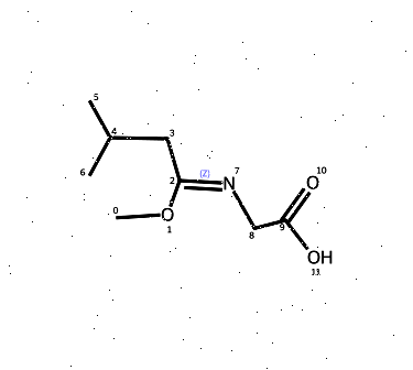 CO/C(CC(C)C)=N\CC(=O)O